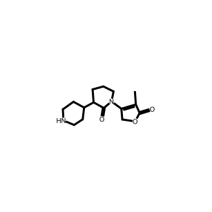 CC1=C(N2CCCC(C3CCNCC3)C2=O)COC1=O